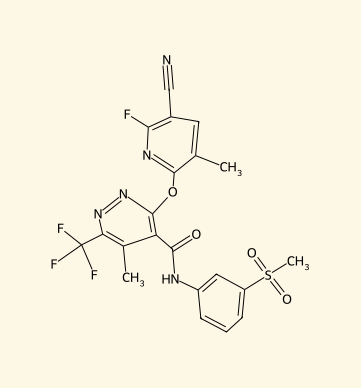 Cc1cc(C#N)c(F)nc1Oc1nnc(C(F)(F)F)c(C)c1C(=O)Nc1cccc(S(C)(=O)=O)c1